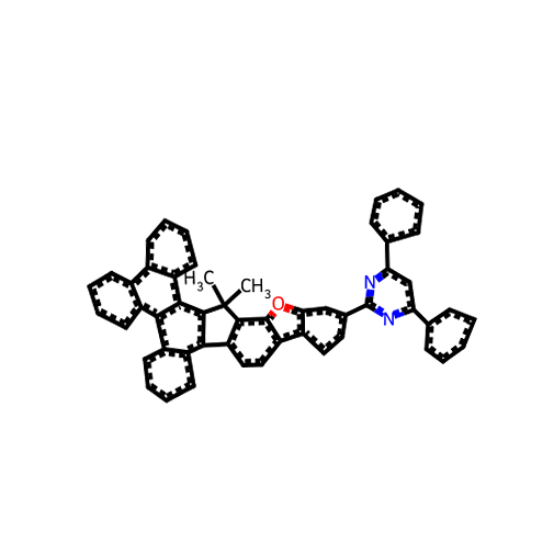 CC1(C)c2c(ccc3c2oc2cc(-c4nc(-c5ccccc5)cc(-c5ccccc5)n4)ccc23)-c2c1c1c3ccccc3c3ccccc3c1c1ccccc21